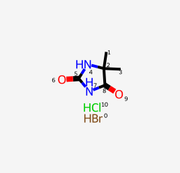 Br.CC1(C)NC(=O)NC1=O.Cl